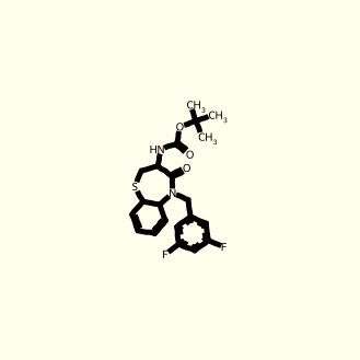 CC(C)(C)OC(=O)NC1CSC2C=CC=CC2N(Cc2cc(F)cc(F)c2)C1=O